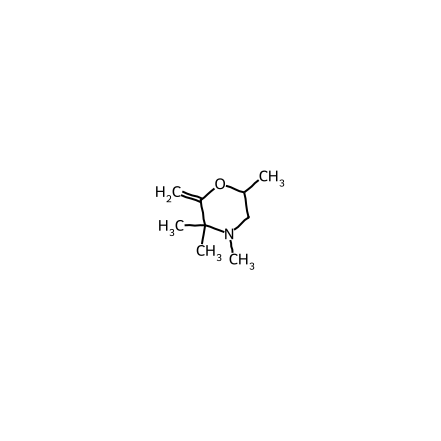 C=C1OC(C)CN(C)C1(C)C